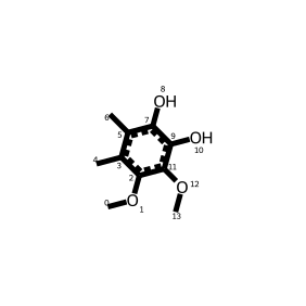 COc1c(C)c(C)c(O)c(O)c1OC